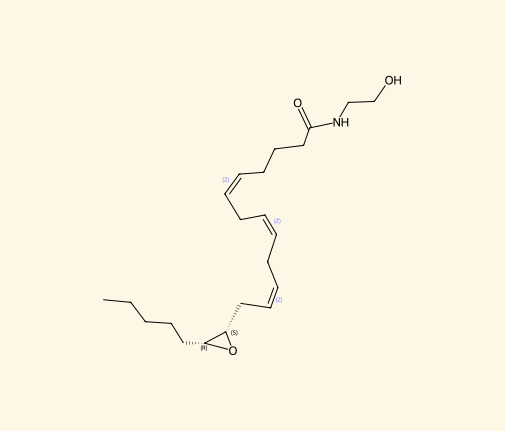 CCCCC[C@H]1O[C@H]1C/C=C\C/C=C\C/C=C\CCCC(=O)NCCO